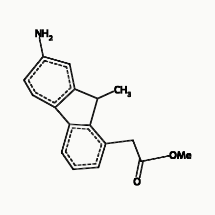 COC(=O)Cc1cccc2c1C(C)c1cc(N)ccc1-2